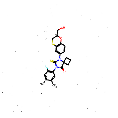 N#Cc1cc(F)c(N2C(=O)C3(CCC3)N(c3ccc4c(c3)SC[C@@H](CO)O4)C2=S)cc1C(F)(F)F